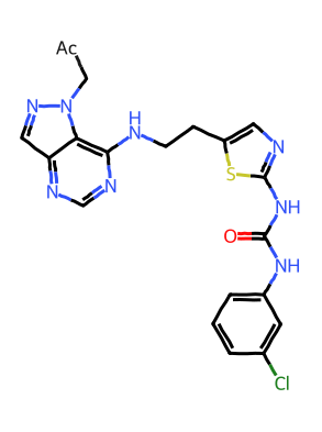 CC(=O)Cn1ncc2ncnc(NCCc3cnc(NC(=O)Nc4cccc(Cl)c4)s3)c21